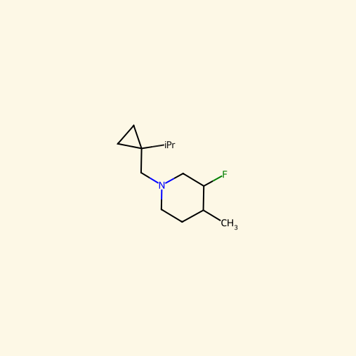 CC1CCN(CC2(C(C)C)CC2)CC1F